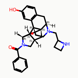 O=C(c1ccccc1)N1C[C@H]2C[C@@]34CC[C@@H]1[C@@H]2[C@@]31CCN(CC2CCN2)[C@@H]4Cc2ccc(O)cc21